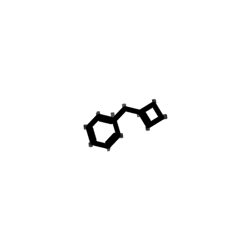 C1=C(Cc2ccccc2)CC1